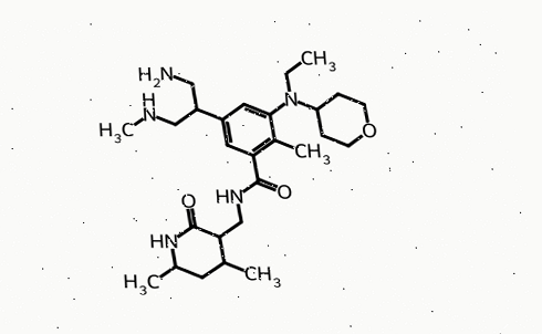 CCN(c1cc(C(CN)CNC)cc(C(=O)NCC2C(=O)NC(C)CC2C)c1C)C1CCOCC1